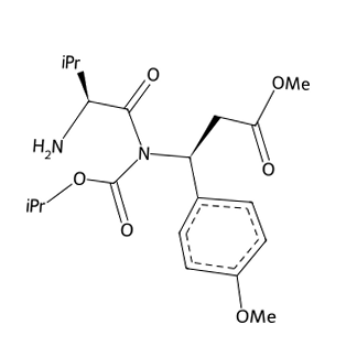 COC(=O)C[C@@H](c1ccc(OC)cc1)N(C(=O)OC(C)C)C(=O)[C@@H](N)C(C)C